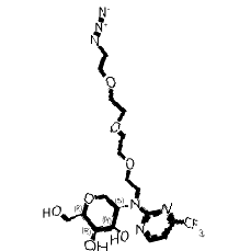 [N-]=[N+]=NCCOCCOCCOCCN(c1nccc(C(F)(F)F)n1)[C@H]1CO[C@H](CO)[C@H](O)[C@@H]1O